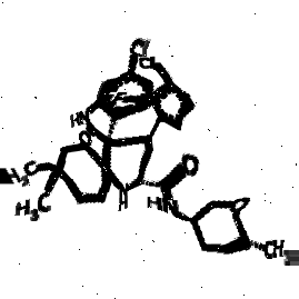 C[C@@H]1CC[C@@H](NC(=O)[C@@H]2NC3(CCC(C)(C)CC3)[C@@]3(C(=O)Nc4cc(Cl)ccc43)[C@H]2c2cccc(Cl)c2F)CO1